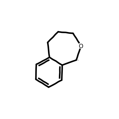 [CH]1OCCCc2ccccc21